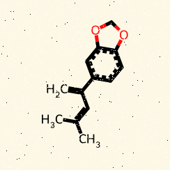 C=C(C=C(C)C)c1ccc2c(c1)OCO2